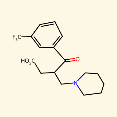 O=C(O)CC(CN1CCCCC1)C(=O)c1cccc(C(F)(F)F)c1